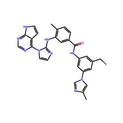 Cc1cn(-c2cc(CF)cc(NC(=O)c3ccc(C)c(Nc4nccn4-c4ncnc5[nH]ccc45)c3)c2)cn1